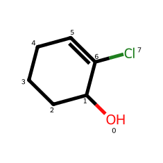 OC1CCCC=C1Cl